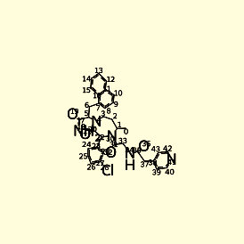 CC1CCN(C(Cc2cccc3ccccc23)C(N)=O)C(=O)C(c2cccc(Cl)c2)N1C(=O)CNC(=O)Cc1ccncc1